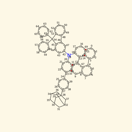 c1ccc(-c2cccc3cccc(-c4ccccc4N(c4ccc(-c5ccc(C67CC8CC(CC(C8)C6)C7)cc5)cc4)c4ccc5c(c4)-c4ccccc4C5(c4ccccc4)c4ccccc4)c23)cc1